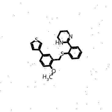 COc1ccc(-c2ccsc2)cc1CSc1ccccc1C1=NCCCN1